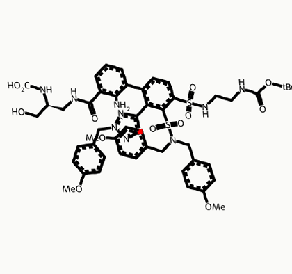 COc1ccc(CN(Cc2ccc(OC)cc2)S(=O)(=O)c2c(S(=O)(=O)NCCNC(=O)OC(C)(C)C)ccc(-c3cccc(C(=O)NC[C@@H](CO)NC(=O)O)c3N)c2-c2nnn(Cc3ccc(OC)cc3)n2)cc1